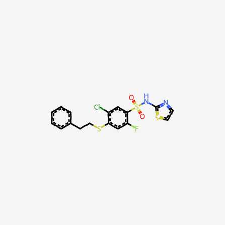 O=S(=O)(Nc1nccs1)c1cc(Cl)c(SCCc2ccccc2)cc1F